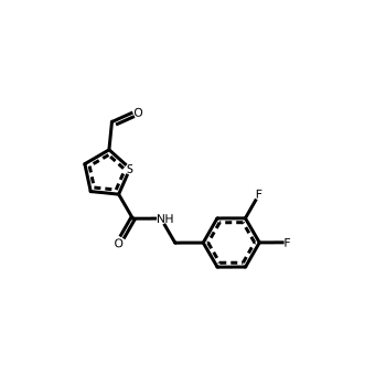 O=Cc1ccc(C(=O)NCc2ccc(F)c(F)c2)s1